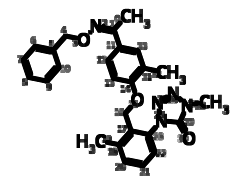 C/C(=N/OCc1ccccc1)c1ccc(OCc2c(C)cccc2-n2nnn(C)c2=O)c(C)c1